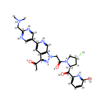 CC(=O)c1nn(CC(=O)N2C[C@H](F)C[C@H]2C(=O)c2cccc(Br)n2)c2cnc(-c3cnc(CN(C)C)nc3)cc12